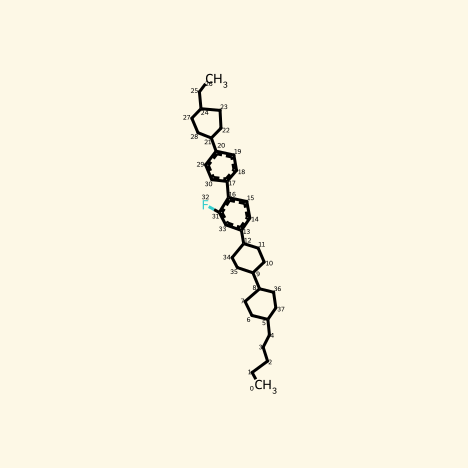 CCCCCC1CCC(C2CCC(c3ccc(-c4ccc(C5CCC(CC)CC5)cc4)c(F)c3)CC2)CC1